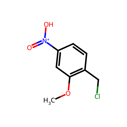 COc1cc([N+](=O)O)ccc1CCl